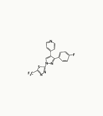 Fc1ccc(-c2nn(-c3nnc(C(F)(F)F)s3)cc2-c2ccncc2)cc1